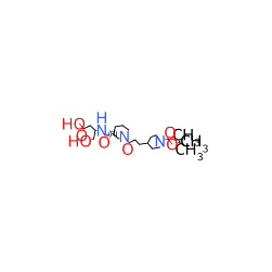 CC(C)(C)OC(=O)N1CCC(CCC(=O)N2CCC[C@@H](C(=O)NC(CO)CC(=O)O)C2)CC1